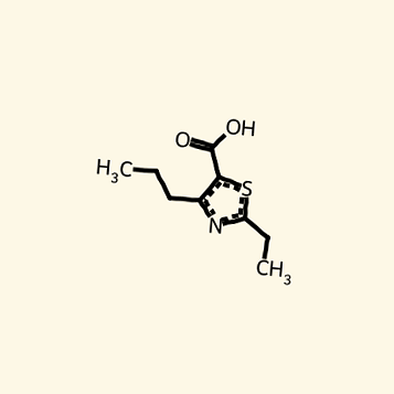 CCCc1nc(CC)sc1C(=O)O